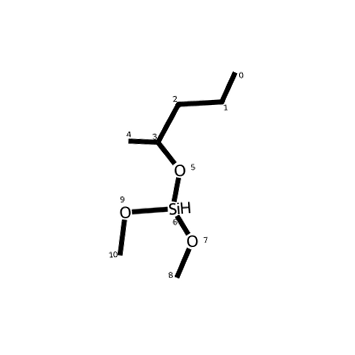 CCCC(C)O[SiH](OC)OC